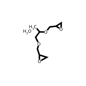 CC(COCC1CO1)OCC1CO1.O